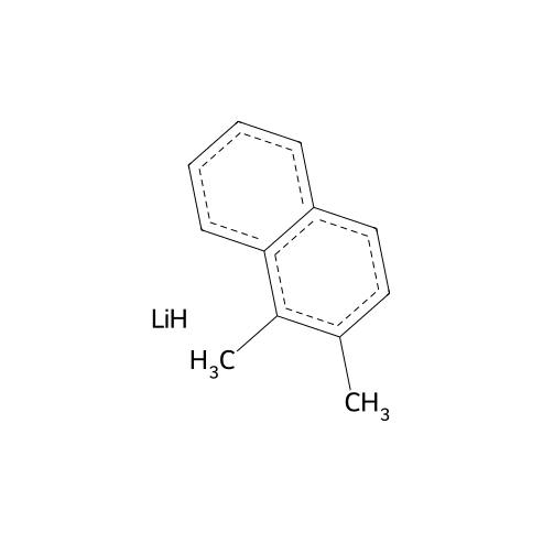 Cc1ccc2ccccc2c1C.[LiH]